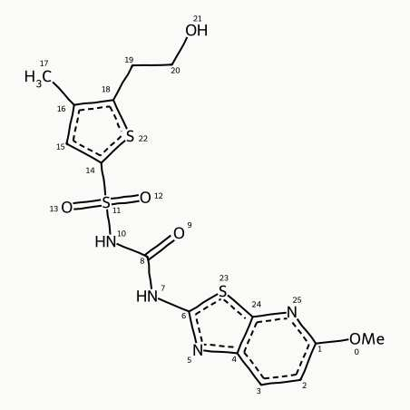 COc1ccc2nc(NC(=O)NS(=O)(=O)c3cc(C)c(CCO)s3)sc2n1